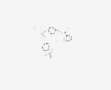 CC(=NOCc1ccc(C(F)(F)F)cc1)c1ccc(OCC(=O)c2nccn2C)cc1